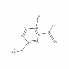 C=C(C)c1cc(CC(C)CC)ccc1F